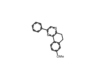 COc1ccc2c(c1)CCc1ncc(-c3ccccc3)nc1-2